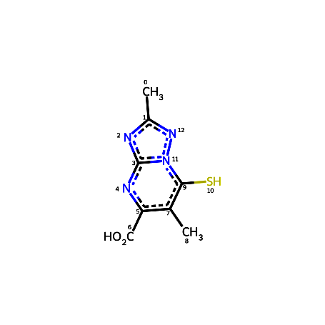 Cc1nc2nc(C(=O)O)c(C)c(S)n2n1